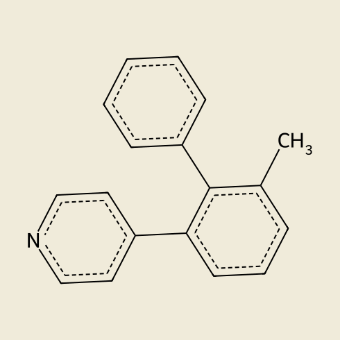 Cc1cccc(-c2ccncc2)c1-c1ccccc1